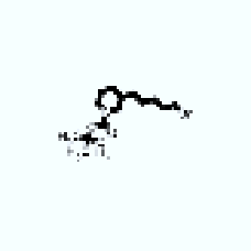 CC(C)(C)OC(=O)N1CCCC(CCCCCBr)C1